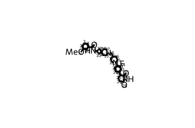 COc1cccc(C(=O)NC2CC3(CCN(CC4CCN(c5ccc(C6CCC(=O)NC6=O)cc5F)CC4)CC3)C2)c1